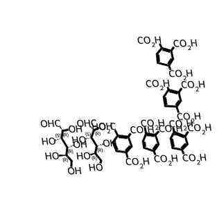 O=C(O)c1ccc(C(=O)O)c(C(=O)O)c1.O=C(O)c1ccc(C(=O)O)c(C(=O)O)c1.O=C(O)c1ccc(C(=O)O)c(C(=O)O)c1.O=C(O)c1ccc(C(=O)O)c(C(=O)O)c1.O=C(O)c1ccc(C(=O)O)c(C(=O)O)c1.O=C[C@H](O)[C@@H](O)[C@H](O)[C@H](O)CO.O=C[C@H](O)[C@@H](O)[C@H](O)[C@H](O)CO